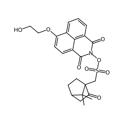 CC1(C)C2CCC1(CS(=O)(=O)ON1C(=O)c3cccc4c(OCCO)ccc(c34)C1=O)C(=O)C2